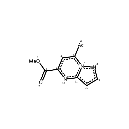 COC(=O)c1cc(C(C)=O)n2nccc2n1